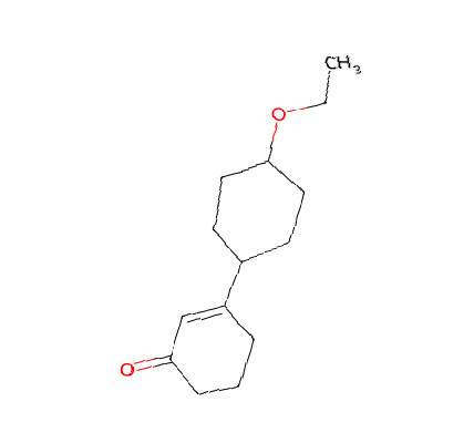 CCOC1CCC(C2=CC(=O)CCC2)CC1